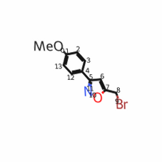 COc1ccc(-c2cc(CBr)on2)cc1